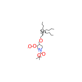 CCC[CH2][Sn](/[CH]=C/COCC1CCN(C(=O)OC(C)(C)C)CC1OCOC)([CH2]CCC)[CH2]CCC